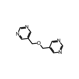 c1ncc(COCc2cncnc2)cn1